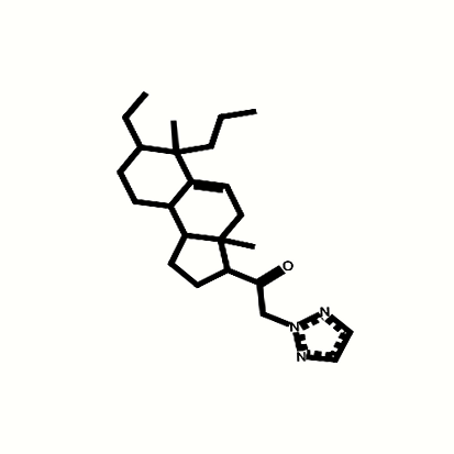 CCCC1(C)C2=CCC3(C)C(C(=O)Cn4nccn4)CCC3C2CCC1CC